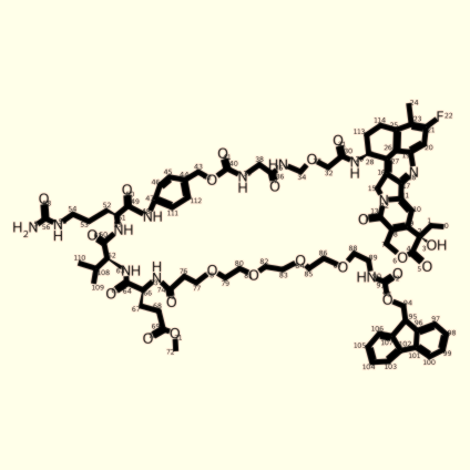 CC[C@@]1(O)C(=O)OCc2c1cc1n(c2=O)Cc2c-1nc1cc(F)c(C)c3c1c2[C@@H](NC(=O)COCNC(=O)CNC(=O)OCc1ccc(NC(=O)[C@H](CCCNC(N)=O)NC(=O)[C@@H](NC(=O)[C@H](CCC(=O)OC)NC(=O)CCOCCOCCOCCOCCNC(=O)OCC2c4ccccc4-c4ccccc42)C(C)C)cc1)CC3